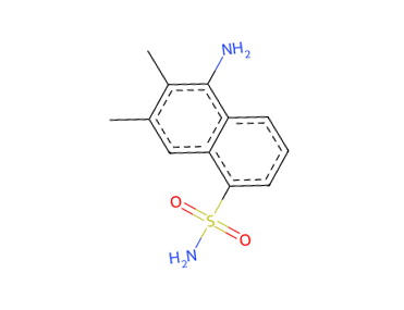 Cc1cc2c(S(N)(=O)=O)cccc2c(N)c1C